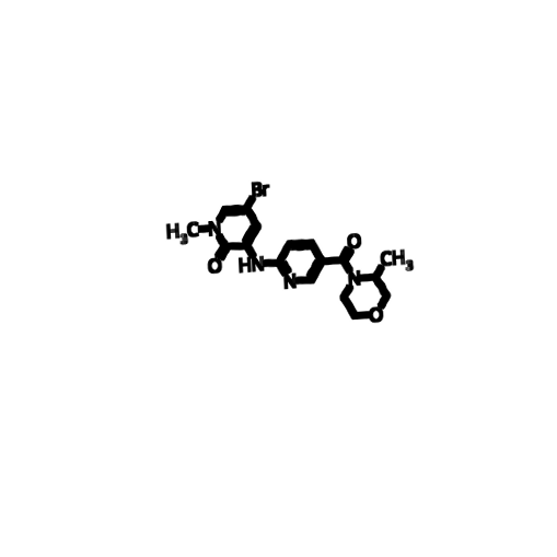 CC1COCCN1C(=O)c1ccc(Nc2cc(Br)cn(C)c2=O)nc1